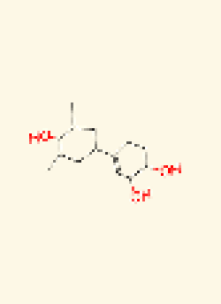 CC1CC(C2=CC(O)C(O)CC2)CC(C)C1O